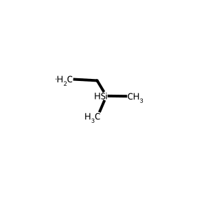 [CH2]C[SiH](C)C